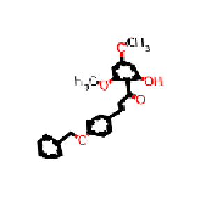 COc1cc(O)c(C(=O)/C=C/c2ccc(OCc3ccccc3)cc2)c(OC)c1